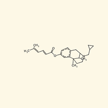 CC(C)=C/C=C/C(=O)Oc1ccc2c(c1)C1(C)CCN(CC3CC3)C(C2)C1C